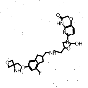 NC1(COc2cc(F)c3c(c2)CC(CNCCC2CN(c4ccc5c(n4)NC(=O)CO5)C(O)O2)C3)COC1